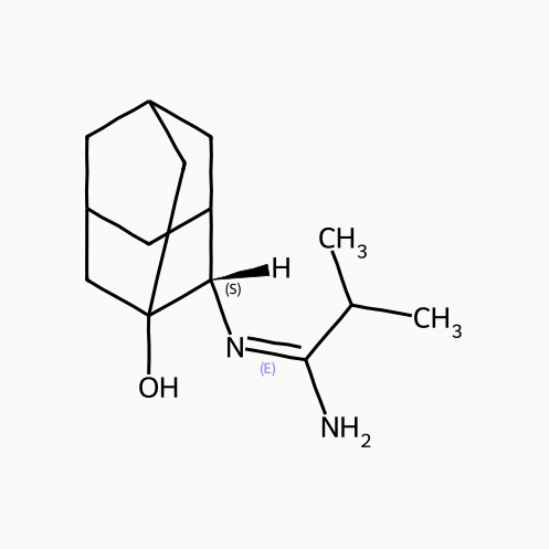 CC(C)/C(N)=N\[C@H]1C2CC3CC(C2)CC1(O)C3